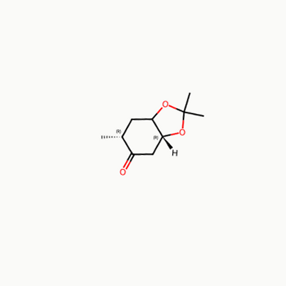 C[C@@H]1CC2OC(C)(C)O[C@@H]2CC1=O